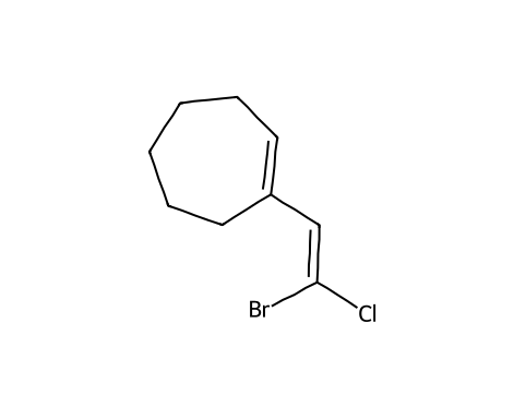 ClC(Br)=CC1=CCCCCC1